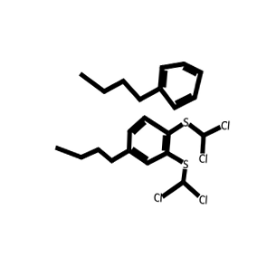 CCCCc1ccc(SC(Cl)Cl)c(SC(Cl)Cl)c1.CCCCc1ccccc1